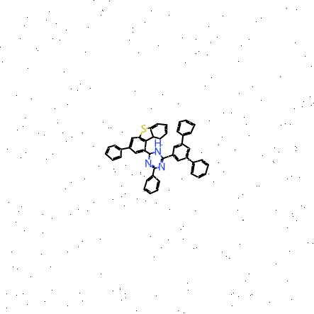 C1=CCC2C(=C1)Sc1cc(-c3ccccc3)cc(C3N=C(c4ccccc4)N=C(c4cc(-c5ccccc5)cc(-c5ccccc5)c4)N3)c12